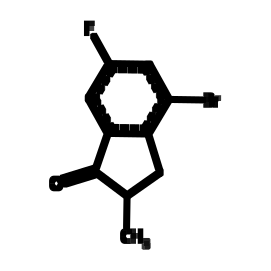 CC1Cc2c(Br)cc(F)cc2C1=O